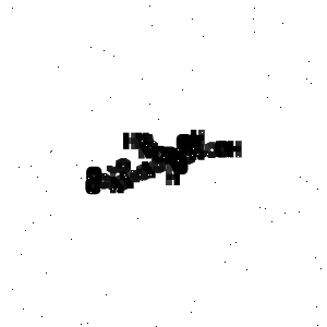 COc1ccc(CN2CCN(C3CC4(CCN(c5ccc(C(=O)NS(=O)(=O)c6ccc(NCC7CCC(C)(O)CC7)c([N+](=O)[O-])c6)c(Oc6cnc7[nH]ccc7c6)c5)CC4)C3)C(c3ccccc3C(C)C)C2)cc1OC